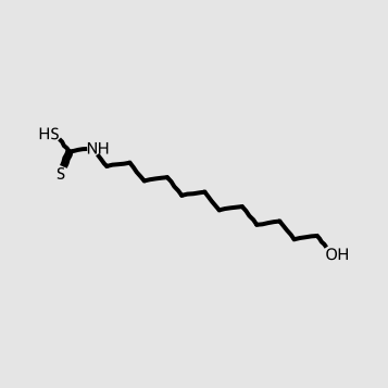 OCCCCCCCCCCCCNC(=S)S